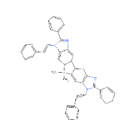 CC1(C)c2cc3c(cc2C2C=c4nc(-c5ccccc5)n(/C=C/c5ccccc5)c4=CC21)nc(C1=CCCC=C1)n3/C=C/c1ccccc1